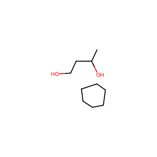 C1CCCCC1.CC(O)CCO